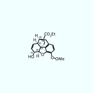 CCOC(=O)N1CC[C@]23c4c5ccc(OOC)c4O[C@H]2[C@@H](O)C=C[C@H]3[C@H]1C5